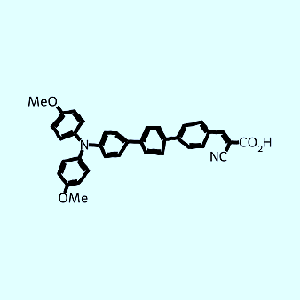 COc1ccc(N(c2ccc(OC)cc2)c2ccc(-c3ccc(-c4ccc(/C=C(\C#N)C(=O)O)cc4)cc3)cc2)cc1